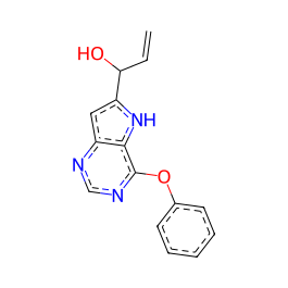 C=CC(O)c1cc2ncnc(Oc3ccccc3)c2[nH]1